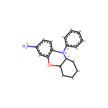 Nc1ccc2c(c1)OC1CCCCC1N2c1ccccc1